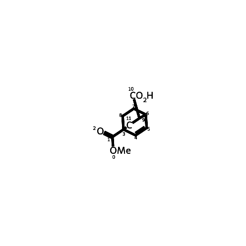 COC(=O)C12C=CC(CC1)C(C(=O)O)C2